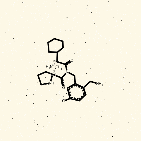 C[C@@]1(C(=O)N(Cc2cc(Cl)ccc2CN)C(=O)[C@H](N)C2CCCCC2)CCCN1